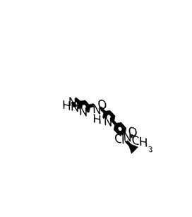 CC(=O)N(CC1CC1)c1ccc(-c2ccc(C(=O)NCc3cnc4[nH]ncc4c3)cn2)cc1Cl